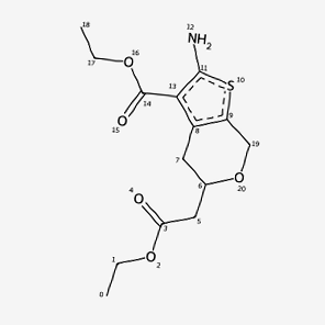 CCOC(=O)CC1Cc2c(sc(N)c2C(=O)OCC)CO1